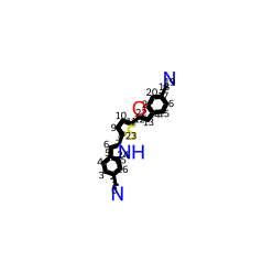 N#Cc1ccc2cc(-c3ccc(-c4cc5ccc(C#N)cc5o4)s3)[nH]c2c1